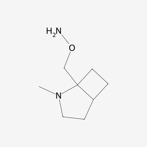 CN1CCC2CCC21CON